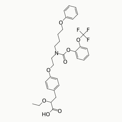 CCOC(Cc1ccc(OCCN(CCCCOc2ccccc2)C(=O)Oc2ccccc2OC(F)(F)F)cc1)C(=O)O